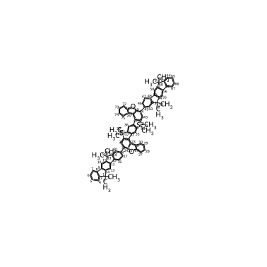 CC1(C)c2ccccc2-c2cc3c(cc21)-c1ccc(-c2cc4c(c5c2oc2ccccc25)-c2cc5c(cc2[Si]4(C)C)-c2c(cc(-c4ccc6c(c4)C(C)(C)c4cc7c(cc4-6)C(C)(C)c4ccccc4-7)c4oc6ccccc6c24)[Si]5(C)C)cc1C3(C)C